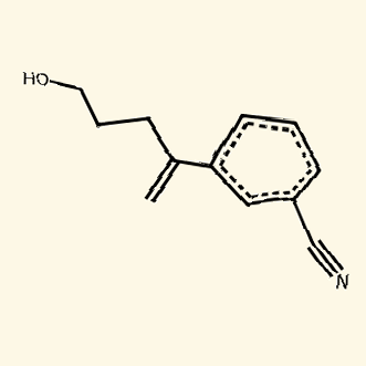 C=C(CCCO)c1cccc(C#N)c1